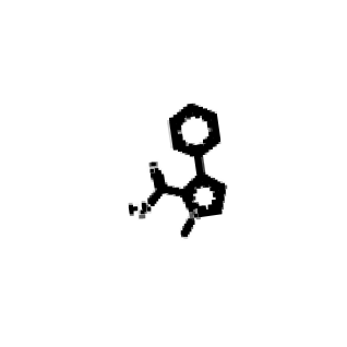 Cn1ccc(-c2ccccc2)c1C(N)=O